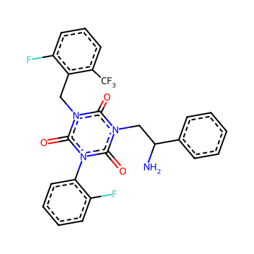 NC(Cn1c(=O)n(Cc2c(F)cccc2C(F)(F)F)c(=O)n(-c2ccccc2F)c1=O)c1ccccc1